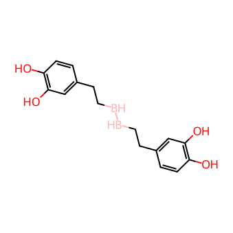 Oc1ccc(CCBBCCc2ccc(O)c(O)c2)cc1O